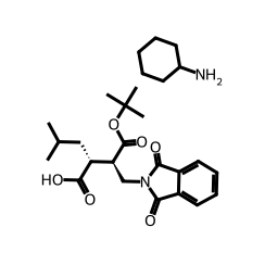 CC(C)C[C@@H](C(=O)O)[C@H](CN1C(=O)c2ccccc2C1=O)C(=O)OC(C)(C)C.NC1CCCCC1